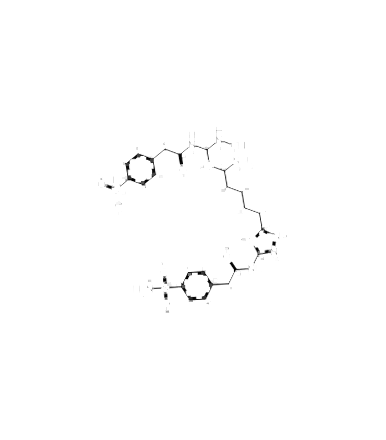 CNC(NC(=O)Cc1ccc([SH](=O)=O)cc1)SC(N)CCCCc1nnc(NC(=O)Cc2ccc(S(N)(=O)=O)cc2)s1